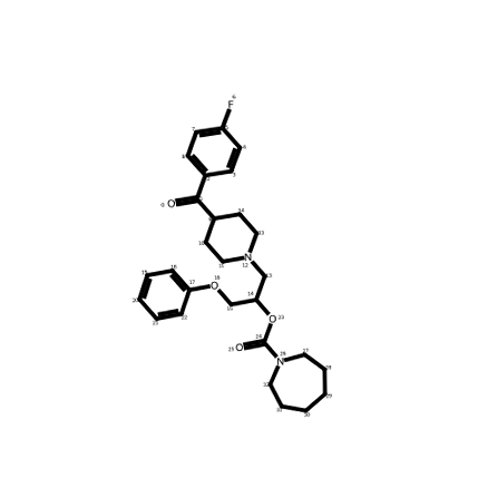 O=C(c1ccc(F)cc1)C1CCN(CC(COc2ccccc2)OC(=O)N2CCCCCC2)CC1